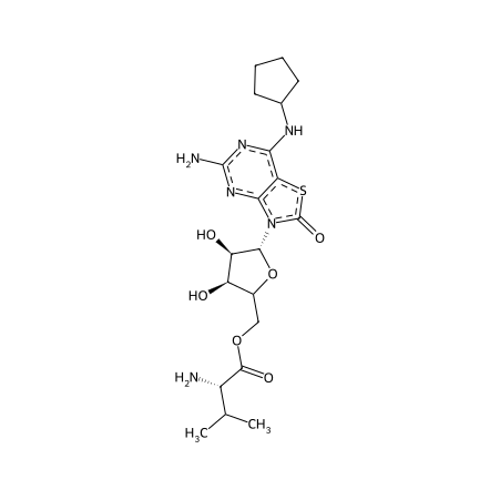 CC(C)[C@H](N)C(=O)OCC1O[C@@H](n2c(=O)sc3c(NC4CCCC4)nc(N)nc32)[C@H](O)[C@@H]1O